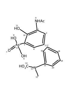 CC(=O)Nc1cccc([As](=O)(O)O)c1O.CN(C(=O)O)c1ccccc1